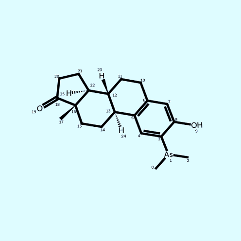 C[As](C)c1cc2c(cc1O)CC[C@@H]1[C@@H]2CC[C@]2(C)C(=O)CC[C@@H]12